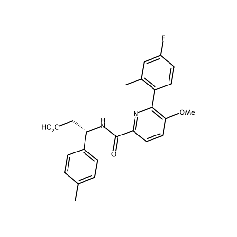 COc1ccc(C(=O)N[C@@H](CC(=O)O)c2ccc(C)cc2)nc1-c1ccc(F)cc1C